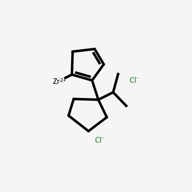 CC(C)C1(C2=[C]([Zr+2])CC=C2)CCCC1.[Cl-].[Cl-]